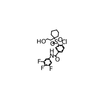 O=C(Nc1cc(F)c(F)c(F)c1)c1ccc(Cl)c(S(=O)(=O)C2(CCO)CCCCC2)c1